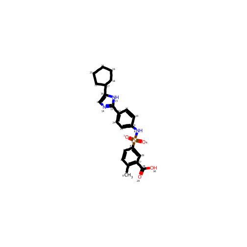 Cc1ccc(S(=O)(=O)Nc2ccc(-c3ncc(C4CCCCC4)[nH]3)cc2)cc1C(=O)O